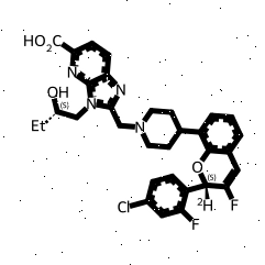 [2H][C@@]1(c2ccc(Cl)cc2F)Oc2c(cccc2C2CCN(Cc3nc4ccc(C(=O)O)nc4n3C[C@@H](O)CC)CC2)C=C1F